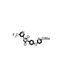 COc1ccc(Oc2ccc(N3C(=O)CN(c4cncc(C(F)(F)F)c4)C3=O)cc2)cn1